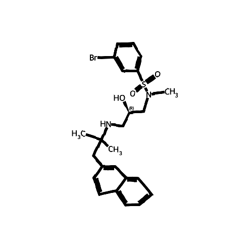 CN(C[C@H](O)CNC(C)(C)Cc1ccc2ccccc2c1)S(=O)(=O)c1cccc(Br)c1